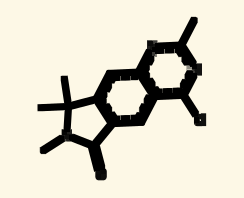 Cc1nc(Cl)c2cc3c(cc2n1)C(C)(C)N(C)C3=O